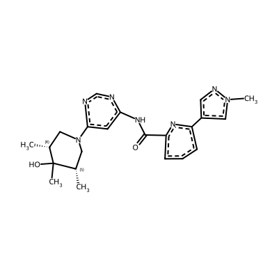 C[C@@H]1CN(c2cc(NC(=O)c3cccc(-c4cnn(C)c4)n3)ncn2)C[C@H](C)C1(C)O